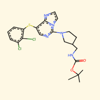 CC(C)(C)OC(=O)NCC1CCN(c2ncc(Sc3cccc(Cl)c3Cl)c3nccn23)C1